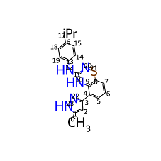 Cc1cc(-c2cccc3c2NC(Nc2ccc(C(C)C)cc2)=NS3)n[nH]1